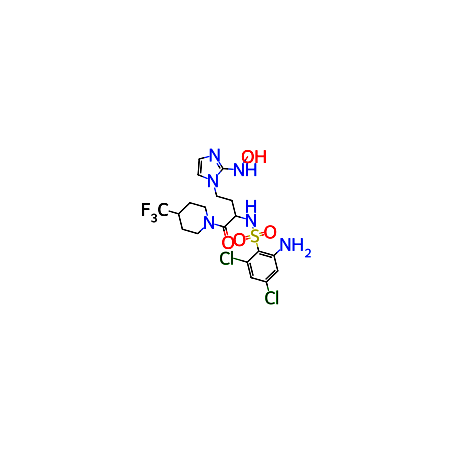 Nc1cc(Cl)cc(Cl)c1S(=O)(=O)NC(CCn1ccnc1NO)C(=O)N1CCC(C(F)(F)F)CC1